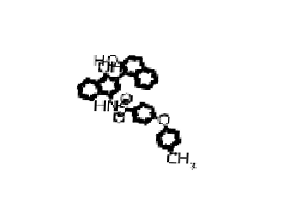 Cc1ccc(Oc2ccc(S(=O)(=O)Nc3cc(-c4c(O)ccc5ccccc45)c(O)c4ccccc34)cc2)cc1